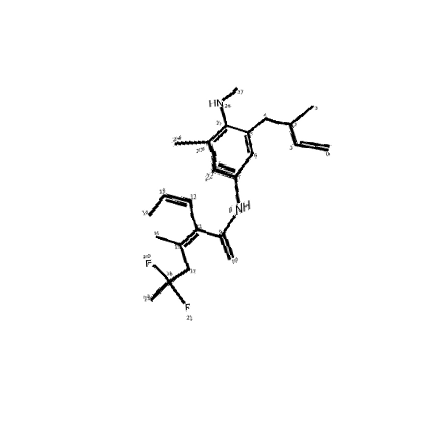 C=CC(C)Cc1cc(NC(=C)C(/C=C\C)=C(/C)CC(C)(F)F)cc(C)c1NC